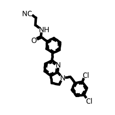 N#CCCNC(=O)c1cccc(-c2ccc3c(n2)N(Cc2ccc(Cl)cc2Cl)CC3)c1